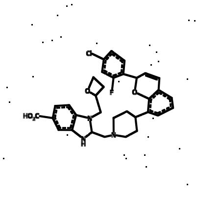 O=C(O)c1ccc2c(c1)NC(CN1CCC(c3cccc4c3OC(c3ccc(Cl)cc3F)C=C4)CC1)N2CC1CCO1